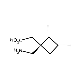 C[C@@H]1C[C@](CN)(CC(=O)O)[C@@H]1C